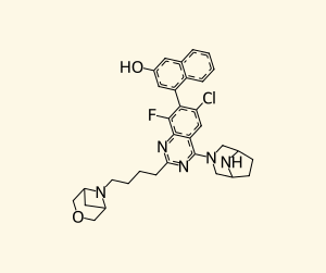 Oc1cc(-c2c(Cl)cc3c(N4CC5CCC(C4)N5)nc(CCCCN4C5COCC4C5)nc3c2F)c2ccccc2c1